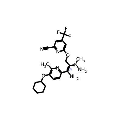 Cc1nc(/C(N)=C(\COc2cc(C(F)(F)F)cc(C#N)n2)N(C)N)ccc1OC1CCCCC1